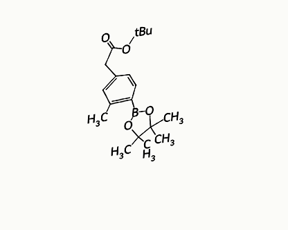 Cc1cc(CC(=O)OC(C)(C)C)ccc1B1OC(C)(C)C(C)(C)O1